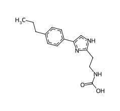 CCCc1ccc(-c2c[nH]c(CCNC(=O)O)n2)cc1